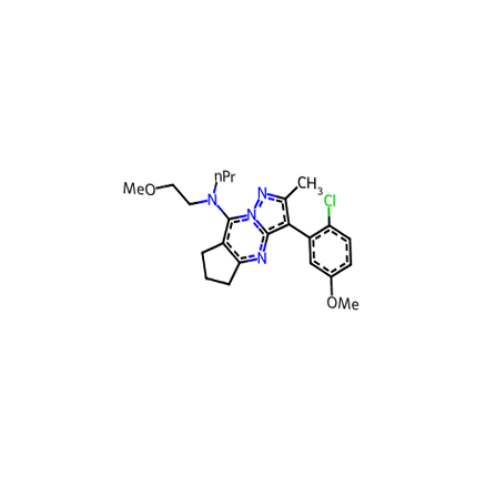 CCCN(CCOC)c1c2c(nc3c(-c4cc(OC)ccc4Cl)c(C)nn13)CCC2